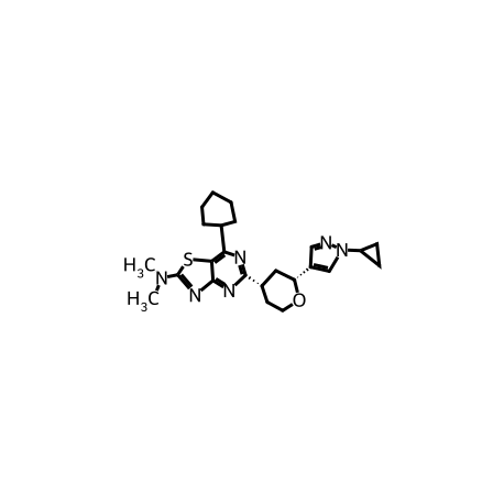 CN(C)c1nc2nc([C@H]3CCO[C@@H](c4cnn(C5CC5)c4)C3)nc(C3CCCCC3)c2s1